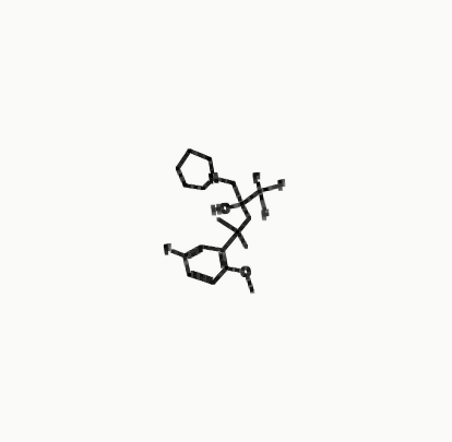 COc1ccc(F)cc1C(C)(C)CC(O)(CN1CCCCC1)C(F)(F)F